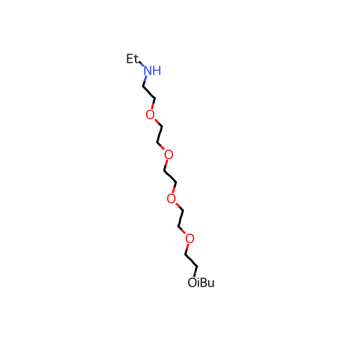 CCNCCOCCOCCOCCOCCOCC(C)C